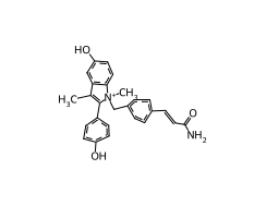 CC1=C(c2ccc(O)cc2)[N+](C)(Cc2ccc(C=CC(N)=O)cc2)c2ccc(O)cc21